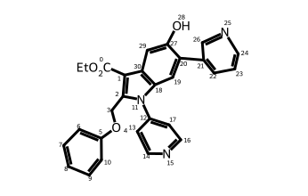 CCOC(=O)c1c(COc2ccccc2)n(-c2ccncc2)c2cc(-c3cccnc3)c(O)cc12